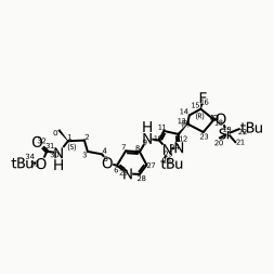 C[C@@H](CCCOc1cc(Nc2cc([C@H]3C[C@@H](F)[C@@H](O[Si](C)(C)C(C)(C)C)C3)nn2C(C)(C)C)ccn1)NC(=O)OC(C)(C)C